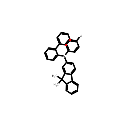 CC1(C)c2ccccc2-c2ccc(N(c3ccc(Cl)cc3)c3ccccc3-c3ccccc3)cc21